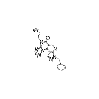 CC(C)CCn1c(=O)c2cnc3c(cnn3Cc3ccccc3)c2n2ncnc12